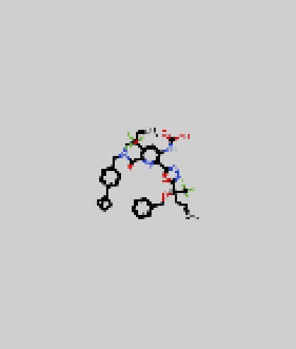 C=CCCN(Cc1ccc(C23CC(C2)C3)cc1)C(=O)c1nc(-c2nnc([C@@](CC=C)(OCc3ccccc3)C(F)(F)F)o2)c(NC(=O)O)cc1C(F)(F)F